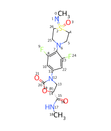 CN=S1(=O)CCN(c2c(F)cc(N3C[C@H](C(=O)NC)OC3=O)cc2F)CC1